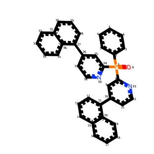 O=P(c1ccccc1)(c1cc(-c2cccc3ccccc23)ccn1)c1cc(-c2cccc3ccccc23)ccn1